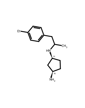 CCc1ccc(CC(C)N[C@H]2CC[C@@H](N)C2)cc1